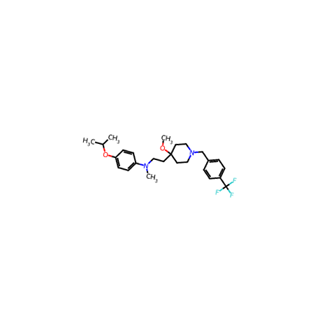 COC1(CCN(C)c2ccc(OC(C)C)cc2)CCN(Cc2ccc(C(F)(F)F)cc2)CC1